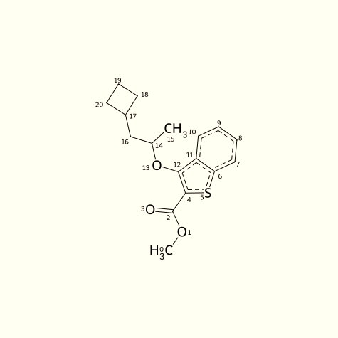 COC(=O)c1sc2ccccc2c1OC(C)CC1CCC1